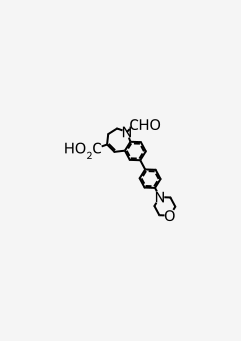 O=CN1CCC(C(=O)O)=Cc2cc(-c3ccc(N4CCOCC4)cc3)ccc21